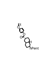 CCCCCC1CCC2C[C@H](C(=O)Oc3ccc(OCC)cc3)CC[C@@H]2C1